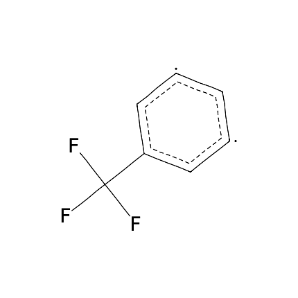 FC(F)(F)c1c[c]c[c]c1